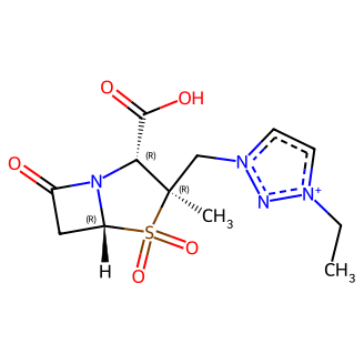 CC[n+]1ccn(C[C@]2(C)[C@@H](C(=O)O)N3C(=O)C[C@H]3S2(=O)=O)n1